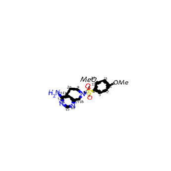 COc1ccc(S(=O)(=O)N2CCc3c(N)ncnc3C2)c(OC)c1